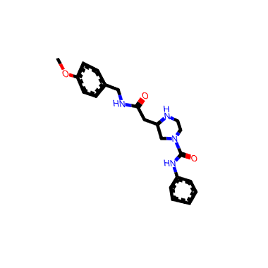 COc1ccc(CNC(=O)CC2CN(C(=O)Nc3ccccc3)CCN2)cc1